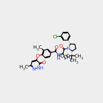 Cc1cc(Oc2ccc(C(=O)N[C@H](C)C(=O)N3[C@H](c4cccc(Cl)c4)CC[C@@H]3C(C)(C)C(=O)O)cc2C)c(=O)[nH]n1